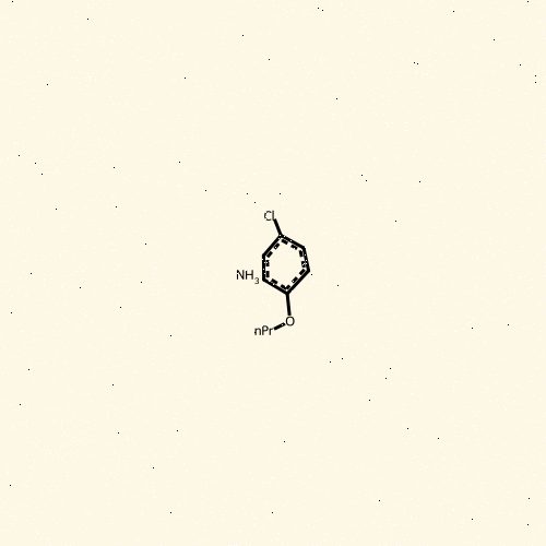 CCCOc1ccc(Cl)cc1.N